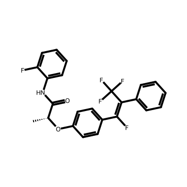 C[C@@H](Oc1ccc(/C(F)=C(/c2ccccc2)C(F)(F)F)cc1)C(=O)Nc1ccccc1F